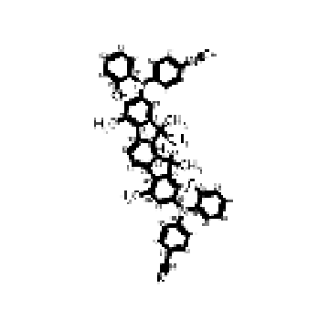 [C-]#[N+]c1ccc(N(c2cc(C)c3c(c2)C(C)(C)c2c-3ccc3c2C(C)(C)c2cc(N(c4ccc(C#N)cc4)c4ccccc4C)cc(C)c2-3)c2ccccc2C)cc1